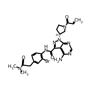 C=CC(=O)N1CC[C@@H](n2nc(C(=O)Nc3ccc(CC(=O)N(C)C)cc3Br)c3c(N)ncnc32)C1